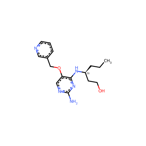 CCC[C@@H](CCO)Nc1nc(N)ncc1OCc1cccnc1